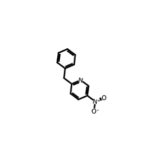 O=[N+]([O-])c1ccc(Cc2ccccc2)nc1